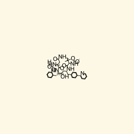 COC(=O)NC(C(=O)NC(Cc1ccc(-c2ccccn2)cc1)C[C@H](O)[C@H](Cc1ccccc1)NC(=O)[C@H](CC(N)=O)NC(=O)O)C(C)(C)C